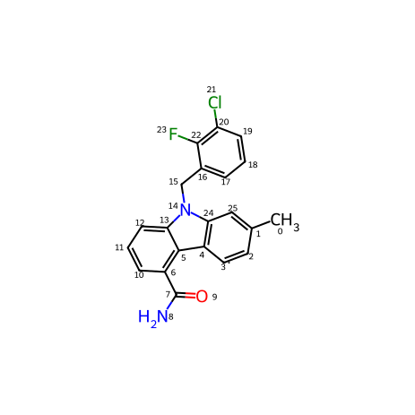 Cc1c[c]c2c3c(C(N)=O)cccc3n(Cc3cccc(Cl)c3F)c2c1